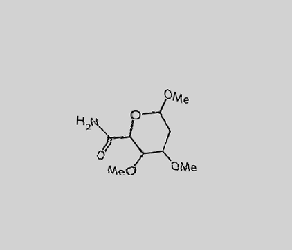 COC1CC(OC)C(OC)C(C(N)=O)O1